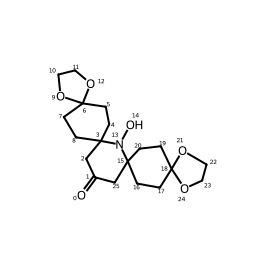 O=C1CC2(CCC3(CC2)OCCO3)N(O)C2(CCC3(CC2)OCCO3)C1